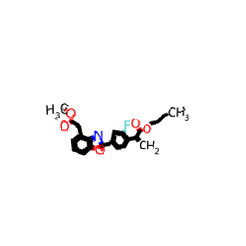 C=C(C(=O)OCCCC)c1ccc(-c2nc3c(CC(=O)OC)cccc3o2)cc1F